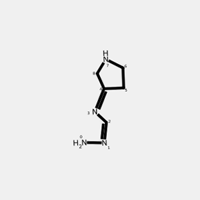 N/N=C\N=C1/CCNC1